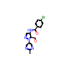 Cc1ncc(-n2ncc(NC(=O)c3ccc(Br)cc3)c2C=O)cn1